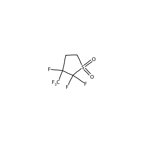 O=S1(=O)CCC(F)(C(F)(F)F)C1(F)F